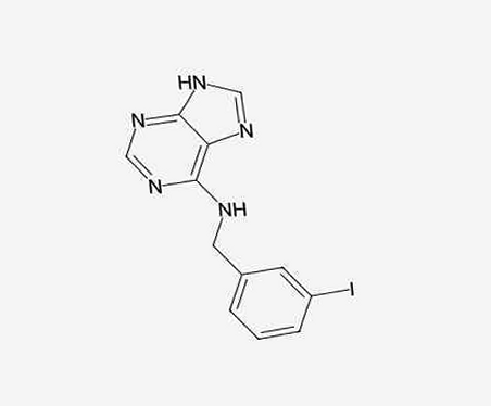 Ic1cccc(CNc2ncnc3[nH]cnc23)c1